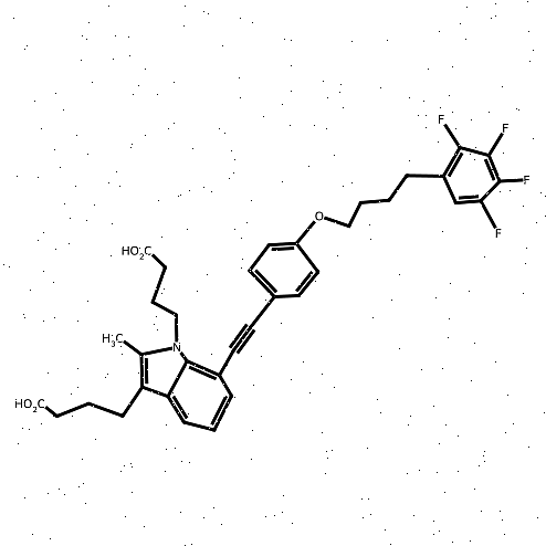 Cc1c(CCCC(=O)O)c2cccc(C#Cc3ccc(OCCCCc4cc(F)c(F)c(F)c4F)cc3)c2n1CCCC(=O)O